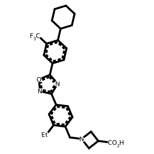 CCc1cc(-c2noc(-c3ccc(C4CCCCC4)c(C(F)(F)F)c3)n2)ccc1CN1CC(C(=O)O)C1